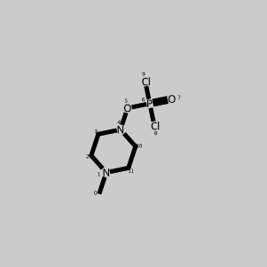 CN1CCN(OP(=O)(Cl)Cl)CC1